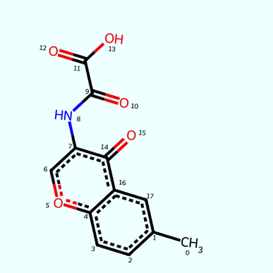 Cc1ccc2occ(NC(=O)C(=O)O)c(=O)c2c1